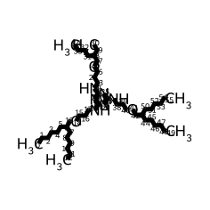 CCCCCCC(CCCCCC)COCCCNc1nc(NCCCOCC(CC)CCCC)nc(NCCCOCC(CCCCCC)CCCCCC)n1